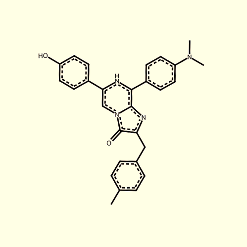 Cc1ccc(Cc2nc3c(-c4ccc(N(C)C)cc4)[nH]c(-c4ccc(O)cc4)cn-3c2=O)cc1